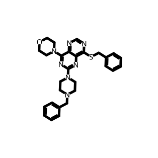 c1ccc(CSc2ncnc3c(N4CCOCC4)nc(N4CCN(Cc5ccccc5)CC4)nc23)cc1